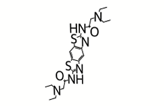 CCN(CC)CC(=O)Nc1nc2cc3nc(NC(=O)CN(CC)CC)sc3cc2s1